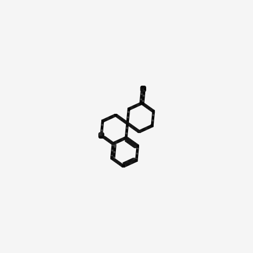 O=C1CCCC2(CCOc3ccccc32)C1